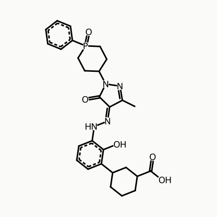 CC1=NN(C2CCP(=O)(c3ccccc3)CC2)C(=O)/C1=N\Nc1cccc(C2CCCC(C(=O)O)C2)c1O